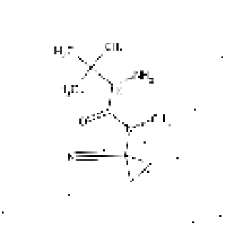 CN(C(=O)[C@@H](N)C(C)(C)C)C1(C#N)CC1